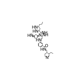 CCCC1CC(C2NNC(CNc3cccc(C(=O)NCC4CCN=CC4CC)c3)N2[C@H]2CC[C@@H](NC)C2)NCN1